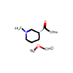 CC(C)(C)OC=O.COC(=O)[C@@H]1CCCN(C)C1